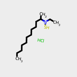 CCCCCCCCCCC(C)N(S)CC.Cl